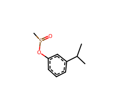 CC(C)c1cccc(OS(C)=O)c1